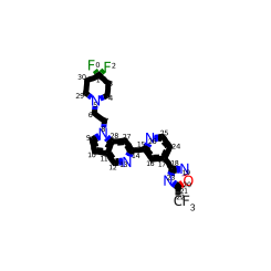 FC1(F)CCN(CCn2ccc3cnc(-c4cc(-c5noc(C(F)(F)F)n5)ccn4)cc32)CC1